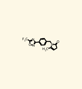 CC1=CCC(=O)N1Cc1ccc(-c2noc(C(F)(F)F)n2)cc1